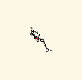 CCCCCCCCc1ccc(NC(=O)C23CCC(NCC(=O)N4C[C@@H](F)C[C@H]4C#N)(CC2)CC3)cc1